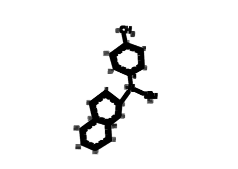 Cc1ccc(N(c2ccc3ccccc3c2)C(C)(C)C)cc1